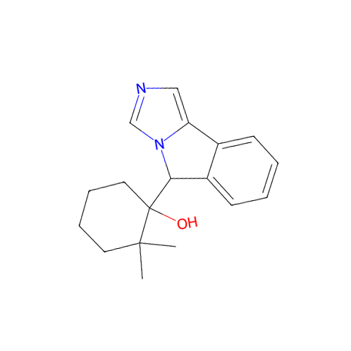 CC1(C)CCCCC1(O)C1c2ccccc2-c2cncn21